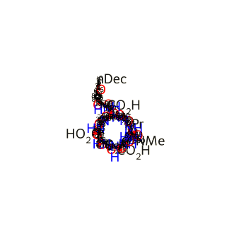 CCCCCCCCCCCCCC(=O)Cc1ccc(C(=O)CCC(=O)NC(CC(=O)O)C(=O)CC2C(=O)N3CCCCC3C(=O)NC(C(C)C(=O)O)C(=O)CC(CC(=O)O)C(=O)NCC(=O)NC(CC(=O)O)C(=O)NCC(=O)NC(C(C)NC(=O)CNC)C(=O)NC(C(C)C)C(=O)N3CCCC3C(=O)NC2C)cc1